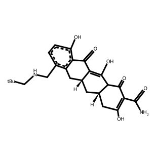 CC(C)(C)CNCc1ccc(O)c2c1C[C@H]1C[C@H]3CC(O)=C(C(N)=O)C(=O)C3C(O)=C1C2=O